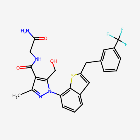 Cc1nn(-c2cccc3cc(Cc4cccc(C(F)(F)F)c4)sc23)c(CO)c1C(=O)NCC(N)=O